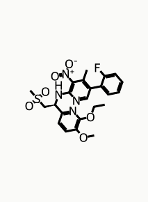 CCOc1nc([C@@H](CS(C)(=O)=O)Nc2ncc(-c3ccccc3F)c(C)c2[N+](=O)[O-])ccc1OC